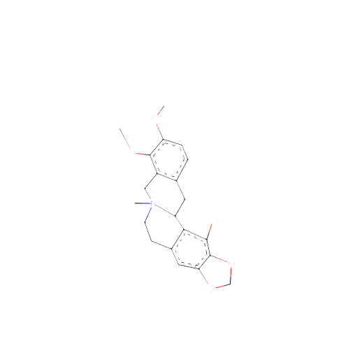 COc1ccc2c(c1OC)C[N+]1(C)CCc3cc4c(c(O)c3C1C2)OCO4